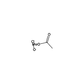 COC(C)=O.[O]Cl